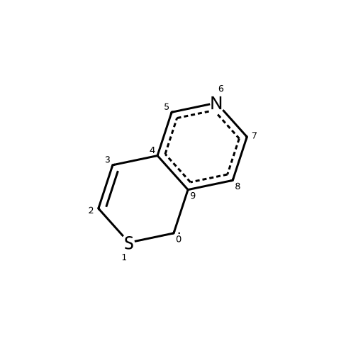 [CH]1SC=Cc2cnccc21